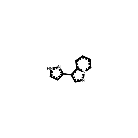 c1ccn2ncc(-c3cc[nH]n3)c2c1